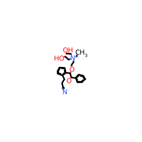 CC[N+](CCO)(CCO)CCOC(C(=O)c1ccccc1)c1ccccc1CCC#N